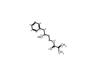 C=C(C)C(=O)OCCC(O)Cc1[c]cccc1